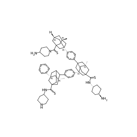 C[C@]12C[C@H]3CC(C(=S)N4CCC(N)CC4)(C1)C[C@@](c1ccc(C45CC6(C(=S)N[C@H]7CC[C@H](N)CC7)C[C@](C)(C4)C[C@@](c4ccc(C7C8CC9(C(=S)NC%10CCNCC%10)C[C@@](c%10ccccc%10)(C8)C[C@]7(C)C9)cc4)(C6)C5)cc1)(C3)C2